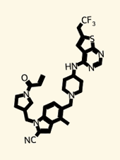 C=CC(=O)N1CCC(Cn2c(C#N)cc3c(C)c(CN4CCC(Nc5ncnc6sc(CC(F)(F)F)cc56)CC4)ccc32)C1